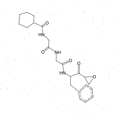 O=C(CNC(=O)C1CCCCC1)NCC(=O)NC(Cc1ccccc1)C(=O)C1CO1